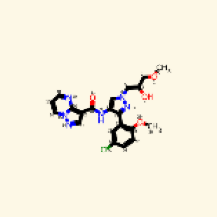 COCC(O)Cn1cc(NC(=O)c2cnn3cccnc23)c(-c2cc(Cl)ccc2OC)n1